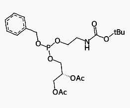 CC(=O)OC[C@H](COP(OCCNC(=O)OC(C)(C)C)OCc1ccccc1)OC(C)=O